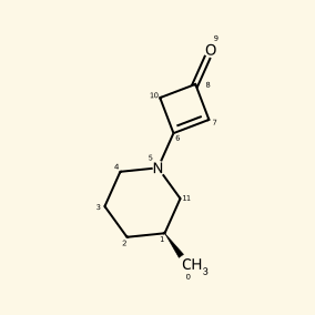 C[C@H]1CCCN(C2=CC(=O)C2)C1